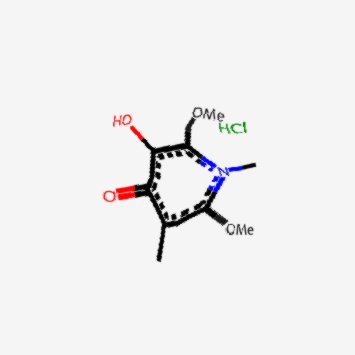 COc1c(C)c(=O)c(O)c(OC)n1C.Cl